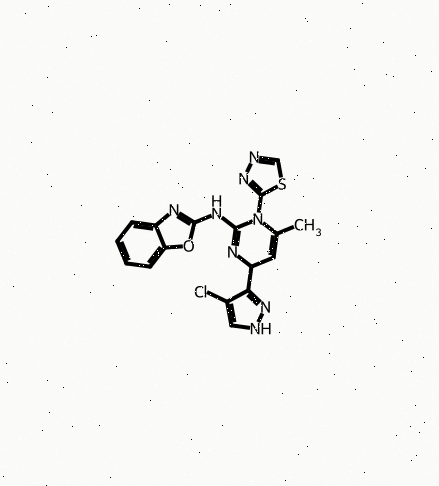 CC1=CC(c2n[nH]cc2Cl)N=C(Nc2nc3ccccc3o2)N1c1nncs1